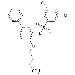 O=C(O)CCCOc1ccc(-c2ccccc2)cc1NS(=O)(=O)c1cc(Cl)cc(Cl)c1